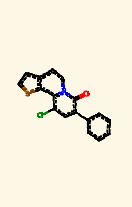 O=c1c(-c2ccccc2)cc(Cl)c2c3sccc3ccn12